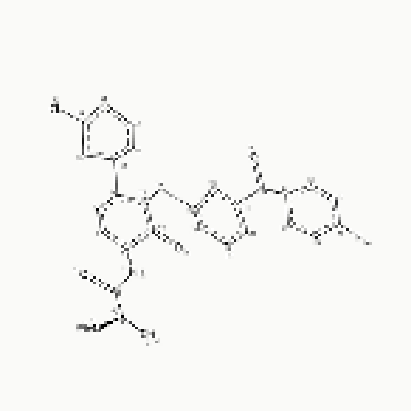 CN[C@H](C)C(=O)Nc1ccc(-c2cccc(Cl)c2)n(Cc2cncc(C(=O)c3ccc(F)cc3)c2)c1=O